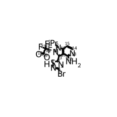 CC(C)n1nc(-c2nc(Br)ns2)c2c(N)nccc21.O=C(O)C(F)(F)F